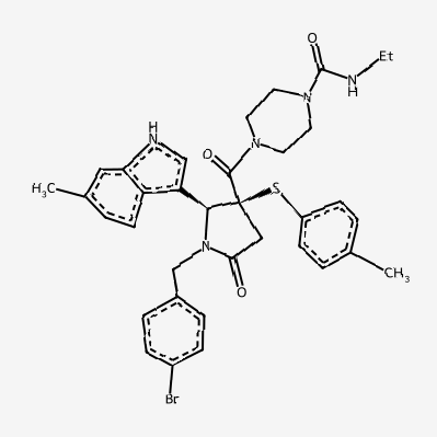 CCNC(=O)N1CCN(C(=O)[C@]2(Sc3ccc(C)cc3)CC(=O)N(Cc3ccc(Br)cc3)[C@H]2c2c[nH]c3cc(C)ccc23)CC1